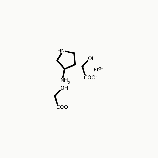 NC1CCNC1.O=C([O-])CO.O=C([O-])CO.[Pt+2]